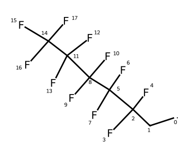 [CH2]CC(F)(F)C(F)(F)C(F)(F)C(F)(F)C(F)(F)F